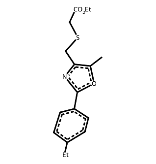 CCOC(=O)CSCc1nc(-c2ccc(CC)cc2)oc1C